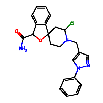 NC(=O)C1OC2(CCN(Cc3cnn(-c4ccccc4)c3)C(Cl)C2)c2ccccc21